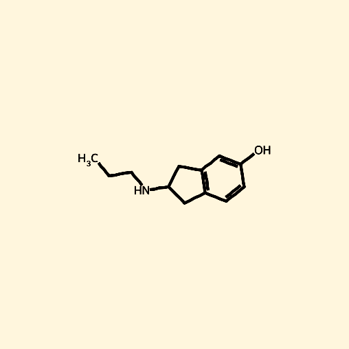 CCCNC1Cc2ccc(O)cc2C1